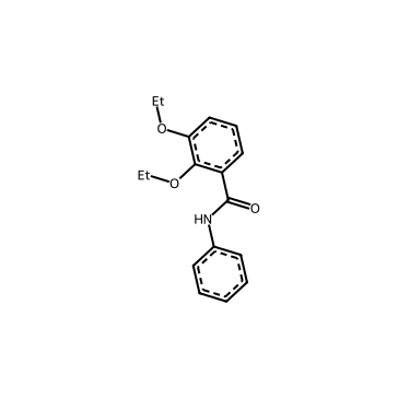 CCOc1cccc(C(=O)Nc2ccccc2)c1OCC